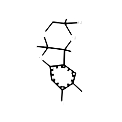 BC12NC(C)(N)CPC1(S)Nc1cc(C)c(C)cc12